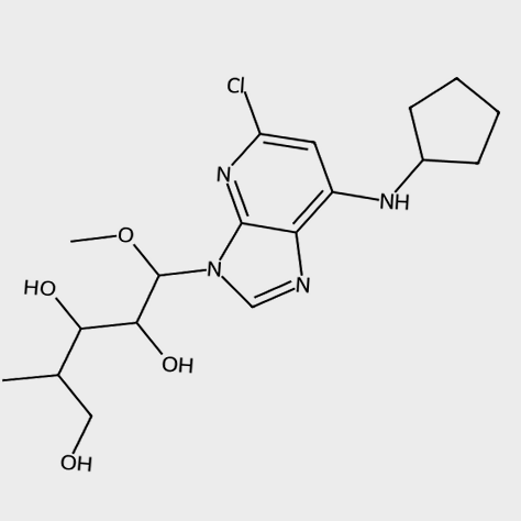 COC(C(O)C(O)C(C)CO)n1cnc2c(NC3CCCC3)cc(Cl)nc21